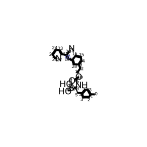 Cc1ccc(C[C@H](NC(=O)OCCc2cccc(/C=C(\C#N)c3ccccn3)c2)B(O)O)cc1